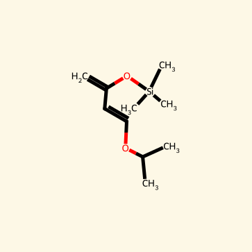 C=C(C=COC(C)C)O[Si](C)(C)C